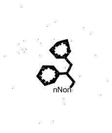 CCCCCCCCCCC(Cc1ccccc1)c1ccccc1